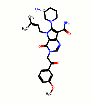 COc1cccc(C(=O)Cn2cnc3c(C(N)=O)c(N4CCC[C@@H](N)C4)n(CC=C(C)C)c3c2=O)c1